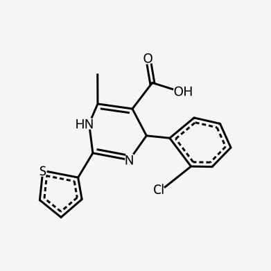 CC1=C(C(=O)O)C(c2ccccc2Cl)N=C(c2cccs2)N1